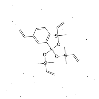 C=Cc1cccc([Si](O[Si](C)(C)C=C)(O[Si](C)(C)C=C)O[Si](C)(C)C=C)c1